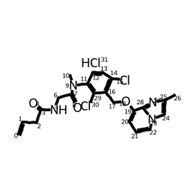 C=CCC(=O)NCC(=O)N(C)c1ccc(Cl)c(COc2cccn3cc(C)nc23)c1Cl.Cl